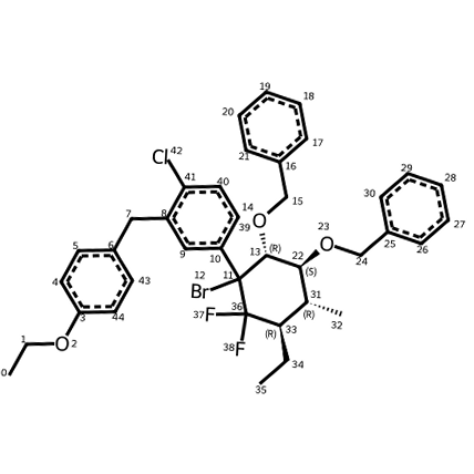 CCOc1ccc(Cc2cc(C3(Br)[C@H](OCc4ccccc4)[C@@H](OCc4ccccc4)[C@H](C)[C@@H](CC)C3(F)F)ccc2Cl)cc1